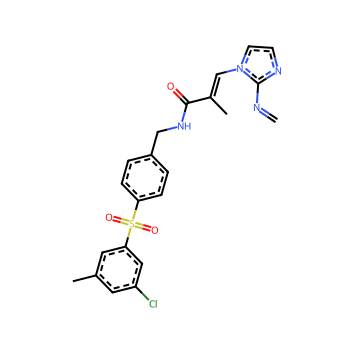 C=Nc1nccn1/C=C(\C)C(=O)NCc1ccc(S(=O)(=O)c2cc(C)cc(Cl)c2)cc1